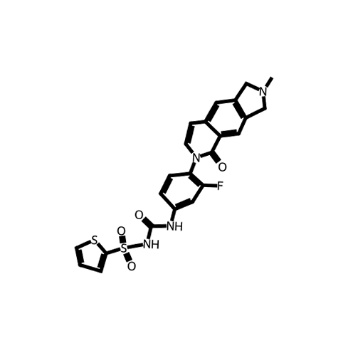 CN1Cc2cc3ccn(-c4ccc(NC(=O)NS(=O)(=O)c5cccs5)cc4F)c(=O)c3cc2C1